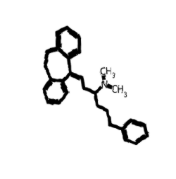 CN(C)C(CC=C1c2ccccc2CCc2ccccc21)CCCc1ccccc1